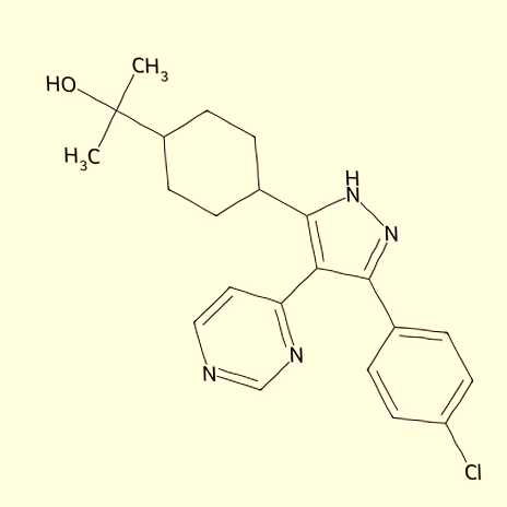 CC(C)(O)C1CCC(c2[nH]nc(-c3ccc(Cl)cc3)c2-c2ccncn2)CC1